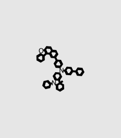 CC12CC=CC=C1N(c1ccccc1)C1=CCC(N(C3=CC=C(c4ccccc4)CC3)c3ccc(-c4ccc5ccc6oc7ccccc7c6c5c4)cc3)C=C12